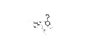 CC(C)(C)NC(=O)CCn1c(Sc2cc3c(cc2-c2ccco2)OCO3)nc2c(N)ncnc21